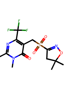 Cc1nc(C(F)(F)F)c(CS(=O)(=O)C2=NOC(C)(C)C2)c(=O)n1C